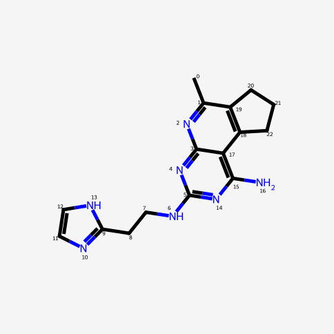 Cc1nc2nc(NCCc3ncc[nH]3)nc(N)c2c2c1CCC2